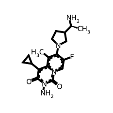 Cc1c(N2CCC([C@H](C)N)C2)c(F)cn2c(=O)n(N)c(=O)c(C3CC3)c12